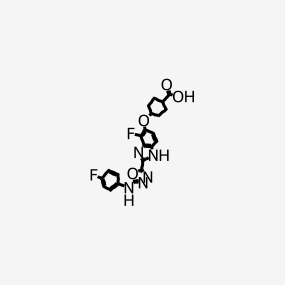 O=C(O)C1CCC(Oc2ccc3[nH]c(-c4nnc(Nc5ccc(F)cc5)o4)nc3c2F)CC1